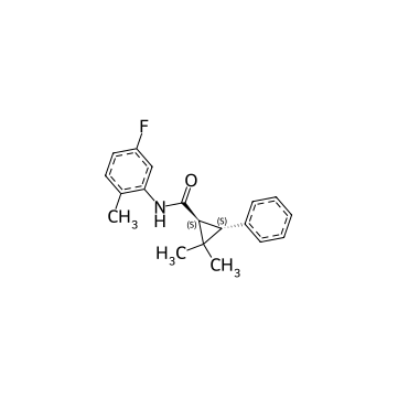 Cc1ccc(F)cc1NC(=O)[C@H]1[C@H](c2ccccc2)C1(C)C